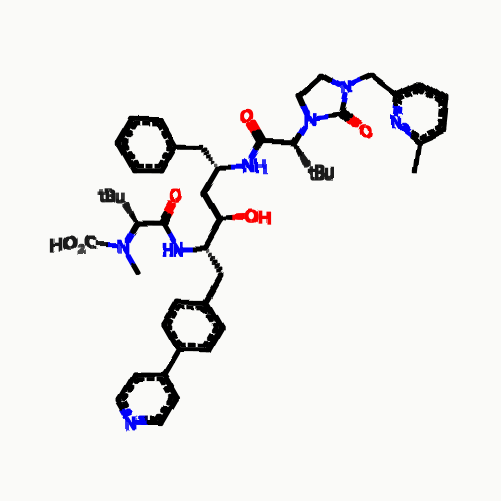 Cc1cccc(CN2CCN([C@H](C(=O)N[C@@H](Cc3ccccc3)C[C@@H](O)[C@H](Cc3ccc(-c4ccncc4)cc3)NC(=O)[C@@H](N(C)C(=O)O)C(C)(C)C)C(C)(C)C)C2=O)n1